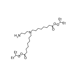 CCC(CC)OOC(=O)CCCCCCCN(CCCN)CCCCCCCC(=O)OOC(CC)CC